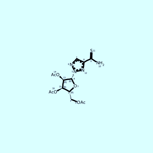 CC(=O)OC[C@H]1O[C@@H](n2ncc(C(N)=S)n2)[C@H](OC(C)=O)[C@@H]1OC(C)=O